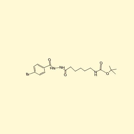 CC(C)(C)OC(=O)NCCCCCC(=O)NNC(=O)c1ccc(Br)cc1